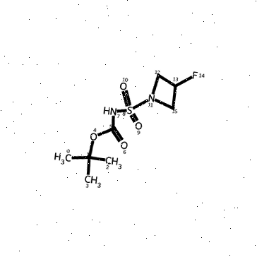 CC(C)(C)OC(=O)NS(=O)(=O)N1CC(F)C1